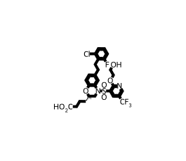 O=C(O)CCC[C@H]1CN(S(=O)(=O)c2cc(C(F)(F)F)cnc2OCCO)c2cc(CCc3c(F)cccc3Cl)ccc2O1